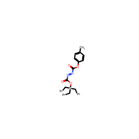 Cc1ccc(OC(=O)/N=N/C(=O)O[Si](CC(C)C)(CC(C)C)CC(C)C)cc1